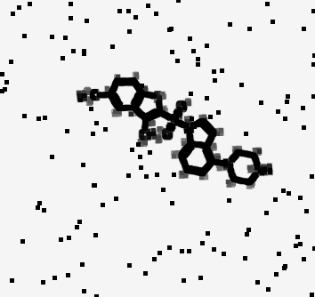 Cc1ccc2sc(S(=O)(=O)n3ccc4c(N5CCNCC5)cccc43)c(C)c2c1